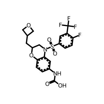 O=C(O)Nc1ccc2c(c1)N(S(=O)(=O)c1ccc(F)c(C(F)(F)F)c1)CC(CC1COC1)O2